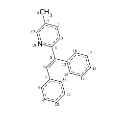 Cc1ccc(/C(=C/c2ccccc2)c2ccccc2)nc1